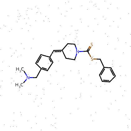 CN(C)Cc1ccc(C=C2CCN(C(=S)SCc3ccccc3)CC2)cc1